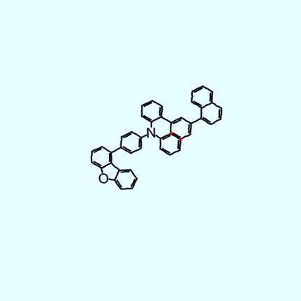 c1ccc(N(c2ccc(-c3cccc4oc5ccccc5c34)cc2)c2ccccc2-c2cccc(-c3cccc4ccccc34)c2)cc1